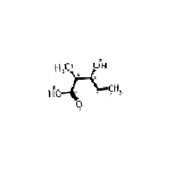 CC[C@H](O)[C@H](C)C(=O)O